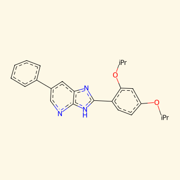 CC(C)Oc1ccc(-c2nc3cc(-c4ccccc4)cnc3[nH]2)c(OC(C)C)c1